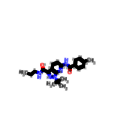 CCCNC(=O)c1nn(C(C)(C)C)c2nc(NC(=O)c3ccc(C)cc3)ccc12